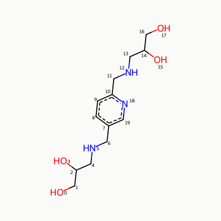 OCC(O)CNCc1ccc(CNCC(O)CO)nc1